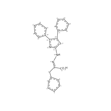 O=C(O)/C(Cc1ccccc1)=N\Nc1nc(-c2ccccc2)c(-c2ccccc2)s1